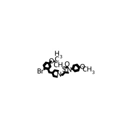 COc1ccc(N2CC(CN3CCC(Cc4cc(OC(C)C)ccc4Br)CC3)SC2=O)cc1